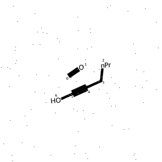 C=O.CCCCC#CO